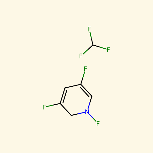 FC(F)F.FC1=CN(F)CC(F)=C1